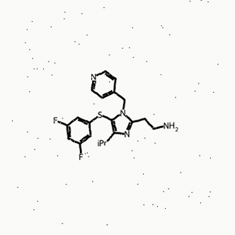 CC(C)c1nc(CCN)n(Cc2ccncc2)c1Sc1cc(F)cc(F)c1